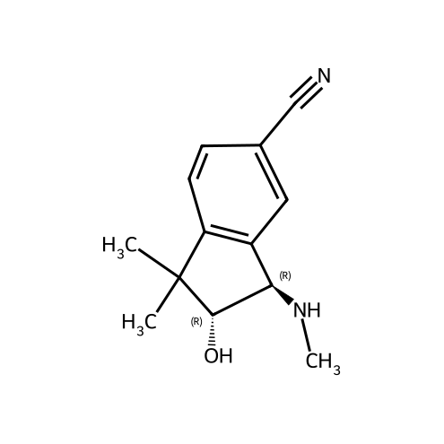 CN[C@@H]1c2cc(C#N)ccc2C(C)(C)[C@H]1O